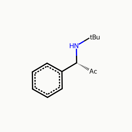 CC(=O)[C@@H](NC(C)(C)C)c1ccccc1